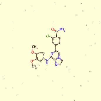 COc1ccc(Nc2nc(-c3ccc(C(N)=O)c(Cl)c3)cn3ccnc23)cc1OC